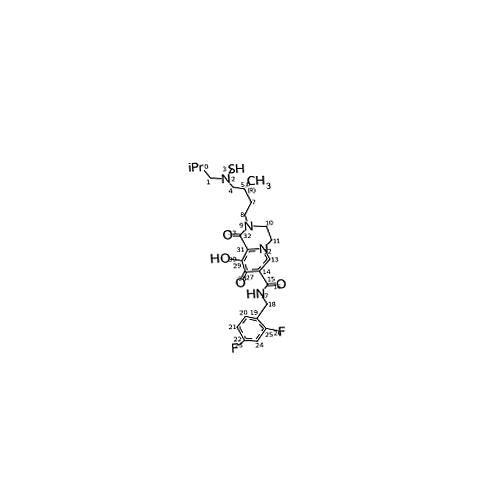 CC(C)CN(S)C[C@H](C)CCN1CCn2cc(C(=O)NCc3ccc(F)cc3F)c(=O)c(O)c2C1=O